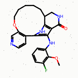 COc1c(F)cccc1Nc1c2[nH]c3c1C(=O)NCC3CCCCCOc1cnccc1-2